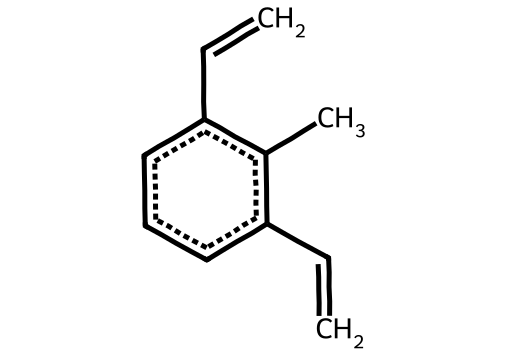 C=Cc1cccc(C=C)c1C